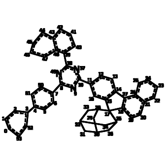 c1ccc(-c2ccc(-c3nc(-c4ccc5c(c4)C4(c6ccc7ccccc7c6-5)C5CC6CC(C5)CC4C6)nc(-c4cccc5ccccc45)n3)cc2)cc1